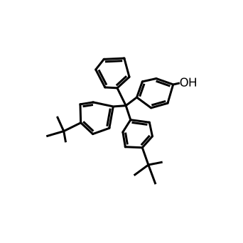 CC(C)(C)c1ccc(C(c2ccccc2)(c2ccc(O)cc2)c2ccc(C(C)(C)C)cc2)cc1